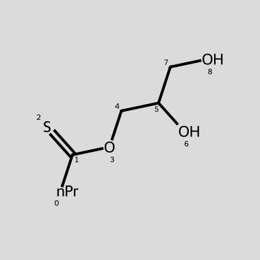 CCCC(=S)OCC(O)CO